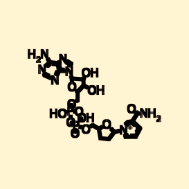 NC(=O)c1ccc[n+](C2CCC(COP(=O)(O)OP(=O)(O)OCC3OC(n4cnc5c(N)ncnc54)C(O)C3O)O2)c1